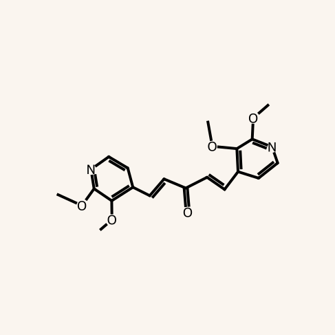 COc1nccc(C=CC(=O)C=Cc2ccnc(OC)c2OC)c1OC